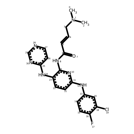 CN(C)CC=CC(=O)Nc1nc(Nc2ccc(F)c(Cl)c2)ccc1Nc1ccncn1